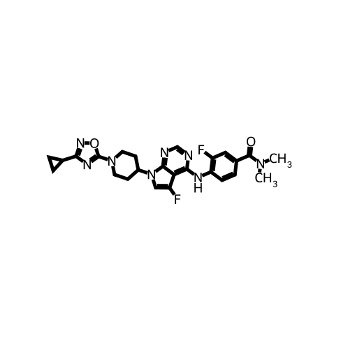 CN(C)C(=O)c1ccc(Nc2ncnc3c2c(F)cn3C2CCN(c3nc(C4CC4)no3)CC2)c(F)c1